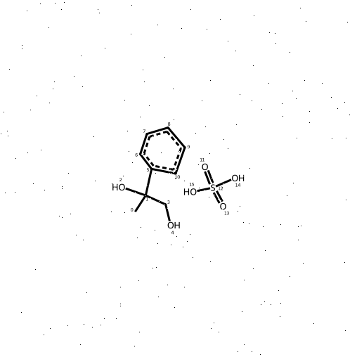 CC(O)(CO)c1ccccc1.O=S(=O)(O)O